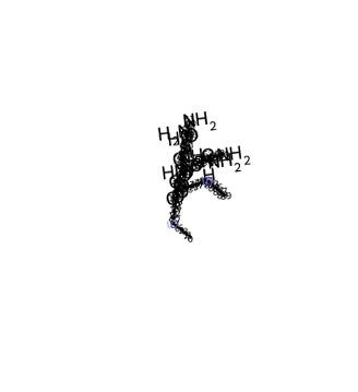 CCCCCCCC/C=C\CCCCCCCC(=O)OC[C@H](COC(=O)CCC(=O)NC(CCC(=O)NCCSSCCNC(=O)C(N)CCCN)C(=O)NCCSSCCNC(=O)C(N)CCCN)OC(=O)CCCCCCC/C=C\CCCCCCCC